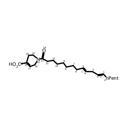 CCCCC/C=C/C/C=C/CCCCCCCC(=O)N1CC=C(C(=O)O)CC1